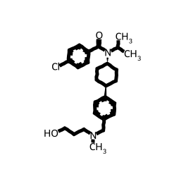 CC(C)N(C(=O)c1ccc(Cl)cc1)[C@H]1CC[C@H](c2ccc(CN(C)CCCO)cc2)CC1